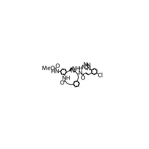 COC(=O)Nc1ccc2c(c1)NC(=O)CCc1cccc(c1)C[C@H](NC(=O)/C=C/c1cc(Cl)ccc1-n1cnnn1)c1nc-2c[nH]1